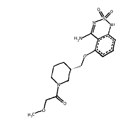 COCC(=O)N1CCC[C@H](COc2cccc3c2C(N)=NS(=O)(=O)N3)C1